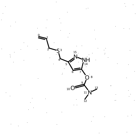 C=CCSCc1cc(OC(=O)N(C)C)[nH]n1